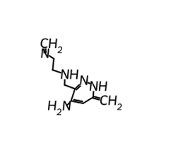 C=NCCNCC1=NNC(=C)C=C1N